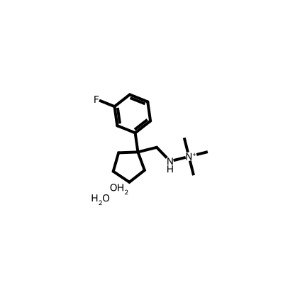 C[N+](C)(C)NCC1(c2cccc(F)c2)CCCC1.O.O